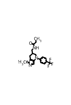 CCC(=O)NCC1Cc2c(cnn2C)N(c2ccc(C(F)(F)F)cc2)C1